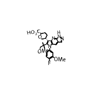 COCC(C)(C)c1c([C@H]2CCC(C(=O)O)OC2)c2nc3[nH]ncc3cc2n1-c1ccc(F)c(OC)c1